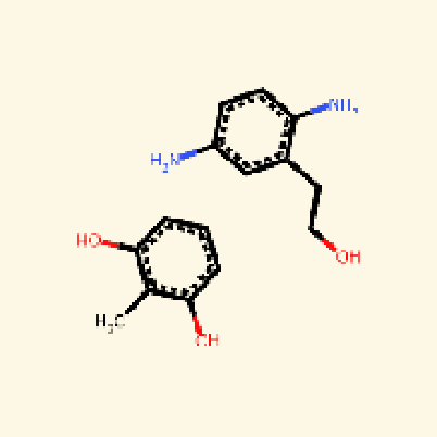 Cc1c(O)cccc1O.Nc1ccc(N)c(CCO)c1